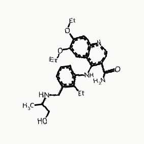 CCOc1cc2ncc(C(N)=O)c(Nc3cccc(CNC(C)CO)c3CC)c2cc1OCC